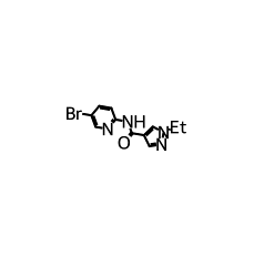 CCn1cc(C(=O)Nc2ccc(Br)cn2)cn1